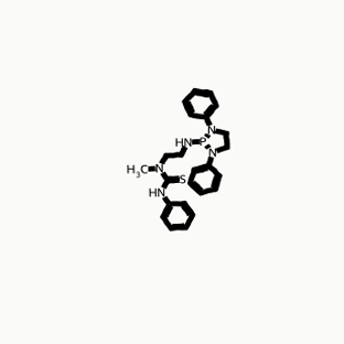 CN(CCNP1N(c2ccccc2)CCN1c1ccccc1)C(=S)Nc1ccccc1